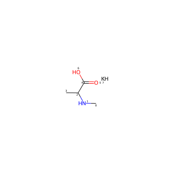 CNC(C)C(=O)O.[KH]